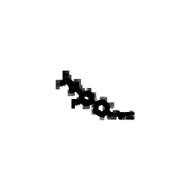 CCCCC[C@H]1CC[C@H](c2ccc(C3CC(=C(F)F)C3)c(F)c2)CC1